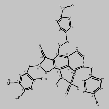 COc1ccc(COc2c3c(c(N(C)S(C)(=O)=O)c4cc(Cc5ccc(F)cc5)cnc24)CN(Cc2cc(Cl)c(F)cc2F)C3=O)cc1